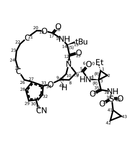 CC[C@@H]1C[C@]1(NC(=O)[C@@H]1C[C@@H]2CN1C(=O)[C@H](C(C)(C)C)NC(=O)OCCCCCCCc1ccc(C#N)cc1O2)C(=O)NS(=O)(=O)C1CC1